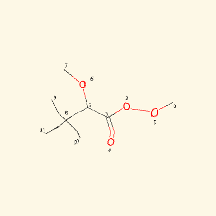 COOC(=O)C(OC)C(C)(C)C